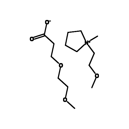 COCCOCCC(=O)[O-].COCC[N+]1(C)CCCC1